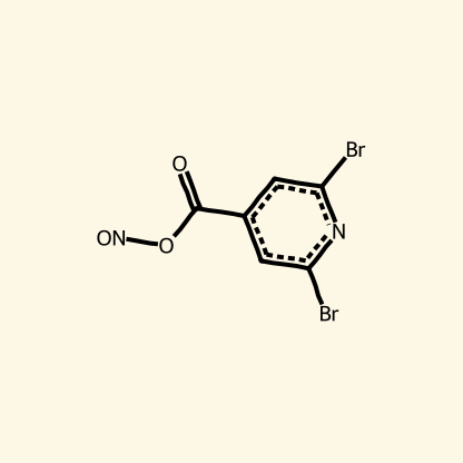 O=NOC(=O)c1cc(Br)nc(Br)c1